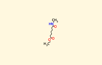 CCNC(=O)CCCCCC(=O)OCC